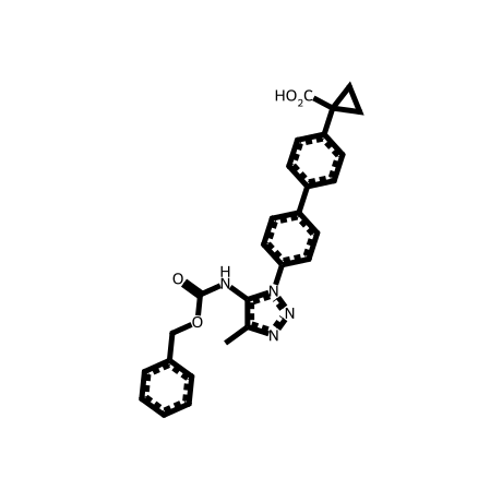 Cc1nnn(-c2ccc(-c3ccc(C4(C(=O)O)CC4)cc3)cc2)c1NC(=O)OCc1ccccc1